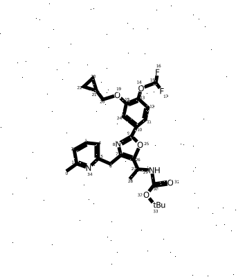 Cc1cccc(Cc2nc(-c3ccc(OC(F)F)c(OCC4CC4)c3)oc2C(C)NC(=O)OC(C)(C)C)n1